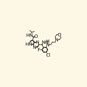 CC(C)NC(=O)c1c[nH]c2ncc(C(=N)c3c(F)cc(Cl)cc3NCCCN3CCOCC3)nc12